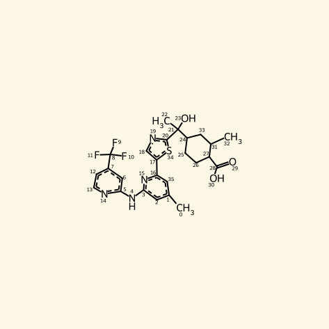 Cc1cc(Nc2cc(C(F)(F)F)ccn2)nc(-c2cnc(C(C)(O)C3CCC(C(=O)O)C(C)C3)s2)c1